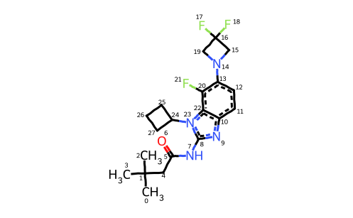 CC(C)(C)CC(=O)Nc1nc2ccc(N3CC(F)(F)C3)c(F)c2n1C1CCC1